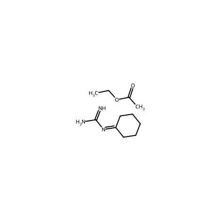 CCOC(C)=O.N=C(N)N=C1CCCCC1